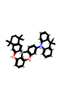 CC1(C)CCC(C)(C)c2cc3c(cc21)Oc1cccc2c1B3c1ccc(N3c4ccccc4C(C)(C)c4ccccc43)cc1O2